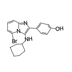 Oc1ccc(-c2nc3cccc(Br)n3c2NC2CCCCC2)cc1